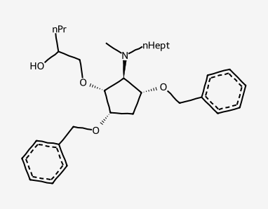 CCCCCCCN(C)[C@@H]1[C@@H](OCC(O)CCC)[C@@H](OCc2ccccc2)C[C@H]1OCc1ccccc1